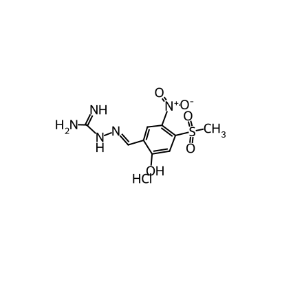 CS(=O)(=O)c1cc(O)c(C=NNC(=N)N)cc1[N+](=O)[O-].Cl